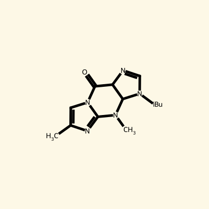 CCC(C)N1C=NC2C(=O)n3cc(C)nc3N(C)C21